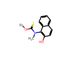 CCOC(=S)N(C)c1c(O)ccc2ccccc12